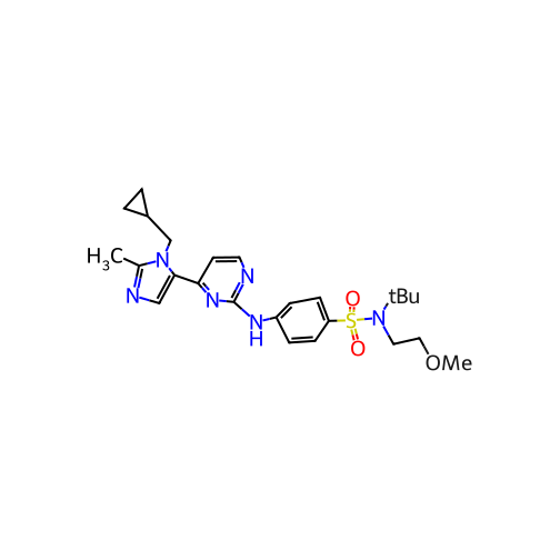 COCCN(C(C)(C)C)S(=O)(=O)c1ccc(Nc2nccc(-c3cnc(C)n3CC3CC3)n2)cc1